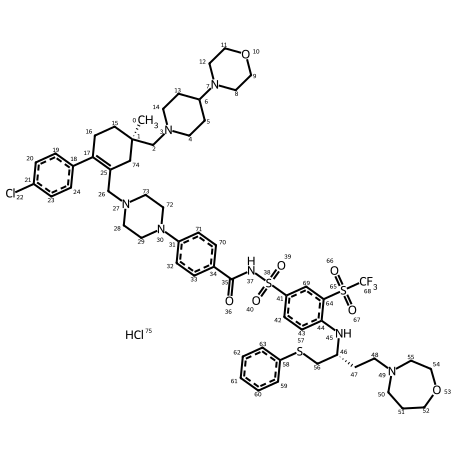 C[C@@]1(CN2CCC(N3CCOCC3)CC2)CCC(c2ccc(Cl)cc2)=C(CN2CCN(c3ccc(C(=O)NS(=O)(=O)c4ccc(N[C@H](CCN5CCCOCC5)CSc5ccccc5)c(S(=O)(=O)C(F)(F)F)c4)cc3)CC2)C1.Cl